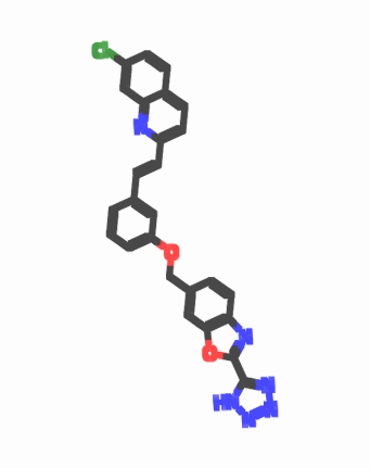 Clc1ccc2ccc(C=Cc3cccc(OCc4ccc5nc(-c6nnn[nH]6)oc5c4)c3)nc2c1